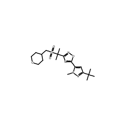 Cn1nc(C(C)(C)C)cc1-c1nc(C(C)(C)S(=O)(=O)CC2CCOCC2)no1